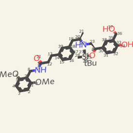 COc1cccc(OC)c1CNC(=O)CCc1cccc(C[C@@H](C)NC[C@H](O[Si](C)(C)C(C)(C)C)c2ccc(O)c(CO)c2)c1